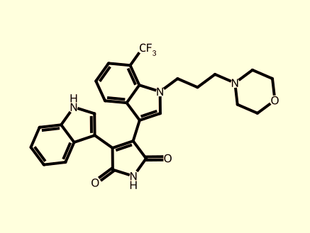 O=C1NC(=O)C(c2cn(CCCN3CCOCC3)c3c(C(F)(F)F)cccc23)=C1c1c[nH]c2ccccc12